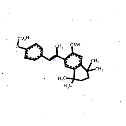 COc1cc2c(cc1/C(C)=C/c1ccc(OC(=O)O)cc1)C(C)(C)CCC2(C)C